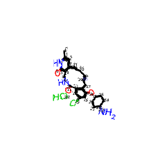 Cc1cc2c(c(=O)[nH]1)CNC(=O)c1cc(Cl)cc(O[C@H]3CC[C@H](N)CC3)c1C/C=C/CC2.Cl